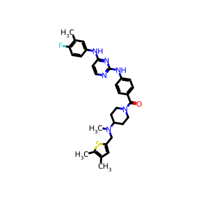 Cc1cc(Nc2ccnc(Nc3ccc(C(=O)N4CCC(N(C)Cc5cc(C)c(C)s5)CC4)cc3)n2)ccc1F